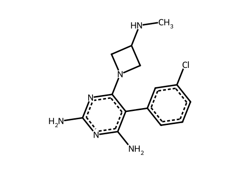 CNC1CN(c2nc(N)nc(N)c2-c2cccc(Cl)c2)C1